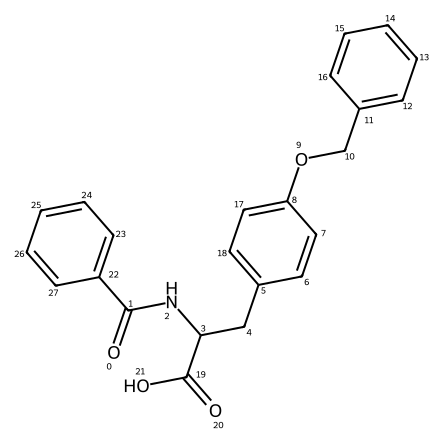 O=C(NC(Cc1ccc(OCc2ccccc2)cc1)C(=O)O)c1ccccc1